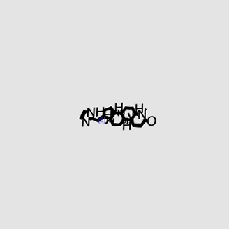 CN1C(=O)C=C[C@]2(C)[C@H]3CC[C@]4(C)/C(=C/c5ncc[nH]5)CC[C@H]4[C@@H]3CC[C@@H]12